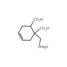 CCCCCCCCC1(C(=O)O)CC=CCC1C(=O)O